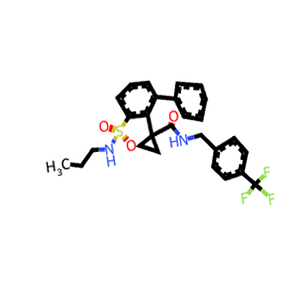 CCCNS(=O)(=O)c1cccc(-c2ccccc2)c1C1(C(=O)NCc2ccc(C(F)(F)F)cc2)CC1